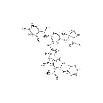 C[N+](C)(C)CC(=O)[O-].I.O=C(Cc1ccccc1NC(=O)c1c[nH]c(=O)[nH]c1=O)NC1C(=O)N2C(C(=O)O)=C(CN3C=CC=CC3)CS[C@H]12